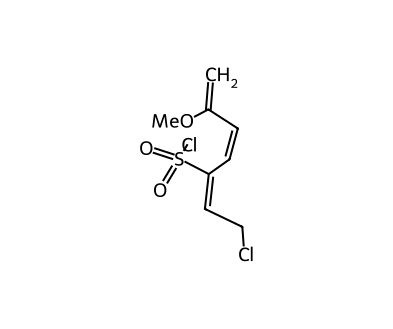 C=C(/C=C\C(=C/CCl)S(=O)(=O)Cl)OC